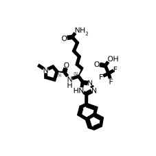 CN1CC[C@H](C(=O)N[C@@H](CCCCCC(N)=O)c2nnc(-c3ccc4ccccc4c3)[nH]2)C1.O=C(O)C(F)(F)F